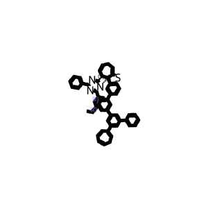 C/C=C\C=C(/C)c1nc(-c2ccccc2)nc([C@H]2C=CCC=C3Sc4ccc(-c5cccc(-c6cc(C7=CCC=CC=C7)cc(-c7ccccc7)c6)c5)cc4[C@]32C)n1